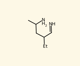 CCC(C=N)CC(C)N